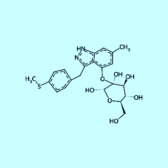 CSc1ccc(Cc2n[nH]c3cc(C)cc(O[C@]4(O)[C@@H](O)O[C@H](CO)[C@@H](O)[C@@H]4O)c23)cc1